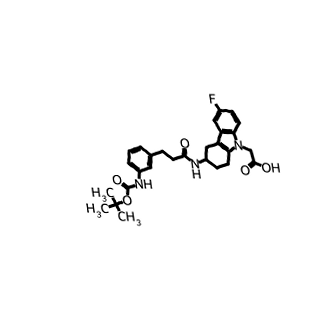 CC(C)(C)OC(=O)Nc1cccc(CCC(=O)NC2CCc3c(c4cc(F)ccc4n3CC(=O)O)C2)c1